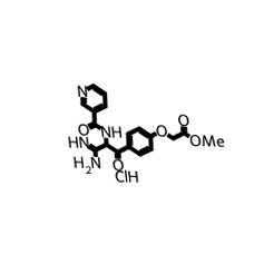 COC(=O)COc1ccc(C(=O)C(NC(=O)c2cccnc2)C(=N)N)cc1.Cl